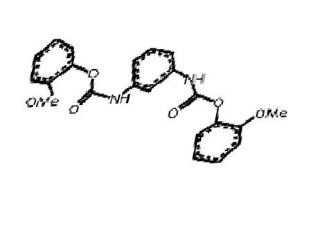 COc1ccccc1OC(=O)Nc1cccc(NC(=O)Oc2ccccc2OC)c1